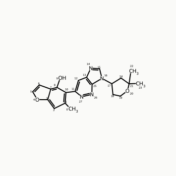 Cc1cc2occc2c(O)c1-c1cc2ncn(C3CCOC(C)(C)C3)c2nn1